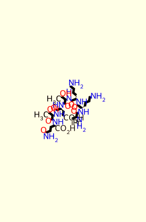 CC(C)C[C@H](N)C(=O)N[C@@H](CCCCN)C(=O)N[C@@H](CCCCN)C(=O)N[C@H](C(=O)N[C@@H](CCC(=O)O)C(=O)N[C@H](C(=O)N[C@@H](CCC(N)=O)C(=O)O)[C@@H](C)O)[C@@H](C)O